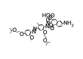 COc1cc(OCCOC(C)C)ccc1/N=N/c1cc(OCCOC(C)C)c(N/N=C2\C(=O)c3ccc(N)cc3C=C2S(=O)(=O)O)cc1C